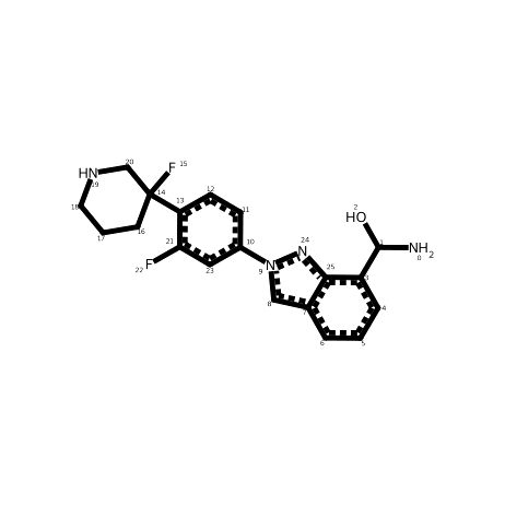 NC(O)c1cccc2cn(-c3ccc(C4(F)CCCNC4)c(F)c3)nc12